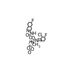 CN(C(=O)NCc1cccc(F)c1Cl)[C@@H](COC(=O)Nc1cc2cc(F)ccc2cn1)C[C@@H]1COC(=O)O1